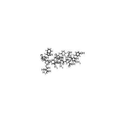 CNC(=N)NCCC[C@H](NC(=O)[C@@H](/C=C/CNC(=O)[C@H](CC1CCCCC1)NC(=O)[C@@H](NC(=O)[C@H](CCC(=O)O)NC(=O)[C@@H]1C[C@@H](O)CN1C(=O)[C@@H](Cc1ccc(O)cc1)NC(C)=O)[C@@H](C)O)CC(C)C)C(=O)N[C@@H](Cc1c[nH]c2ccccc12)C(N)=O